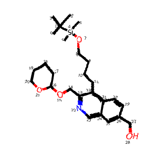 CC(C)(C)[Si](C)(C)OCCCCc1c(COC2CCCCO2)ncc2cc(CO)ccc12